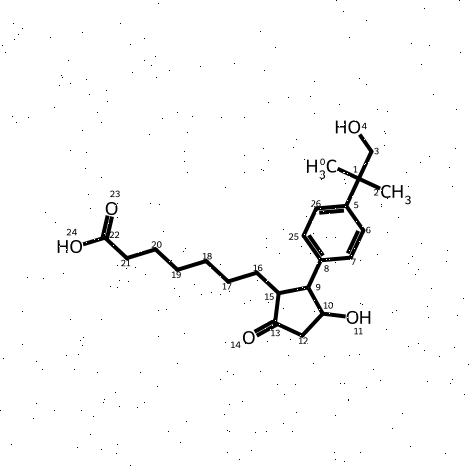 CC(C)(CO)c1ccc(C2C(O)CC(=O)C2CCCCCCC(=O)O)cc1